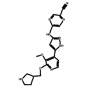 COc1c(-c2cc(Nc3cnc(C#N)cn3)n[nH]2)ccnc1OCC1CCNC1